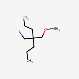 CCCC(CI)(CCC)CO[SiH3]